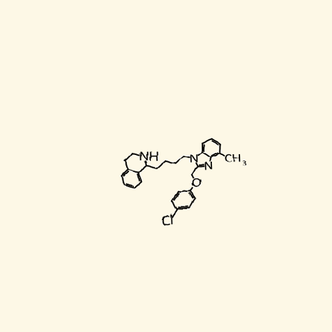 Cc1cccc2c1nc(COc1ccc(Cl)cc1)n2CCCCC1NCCc2ccccc21